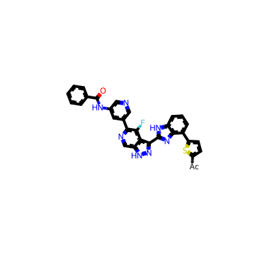 CC(=O)c1ccc(-c2cccc3[nH]c(-c4n[nH]c5cnc(-c6cncc(NC(=O)c7ccccc7)c6)c(F)c45)nc23)s1